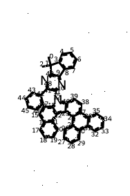 CC1(C)c2ccccc2-c2nc(-n3c4ccc5ccccc5c4c4c5c6ccccc6c6ccccc6c5ccc43)c(-c3ccccc3)nc21